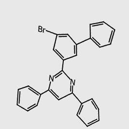 Brc1cc(-c2ccccc2)cc(-c2nc(-c3ccccc3)cc(-c3ccccc3)n2)c1